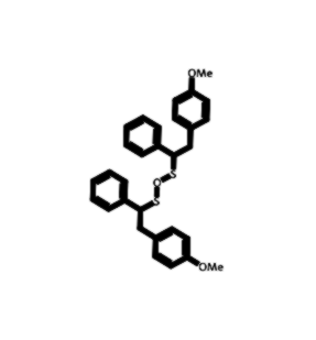 COc1ccc(CC(SOSC(Cc2ccc(OC)cc2)c2ccccc2)c2ccccc2)cc1